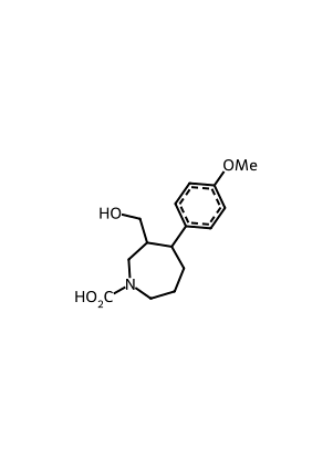 COc1ccc(C2CCCN(C(=O)O)CC2CO)cc1